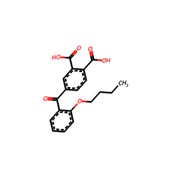 CCCCOc1ccccc1C(=O)c1ccc(C(=O)O)c(C(=O)O)c1